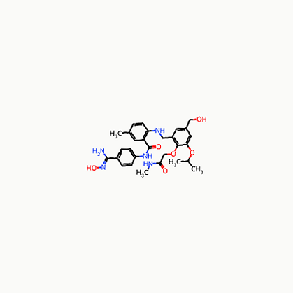 CNC(=O)COc1c(CNc2ccc(C)cc2C(=O)Nc2ccc(/C(N)=N/O)cc2)cc(CO)cc1OC(C)C